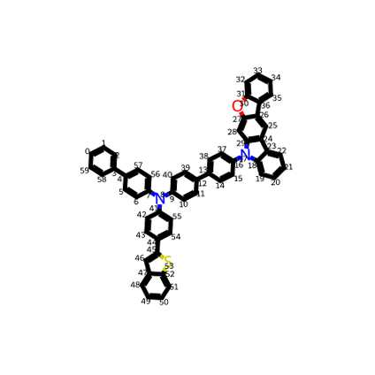 c1ccc(-c2ccc(N(c3ccc(-c4ccc(-n5c6ccccc6c6cc7c(cc65)oc5ccccc57)cc4)cc3)c3ccc(-c4cc5ccccc5s4)cc3)cc2)cc1